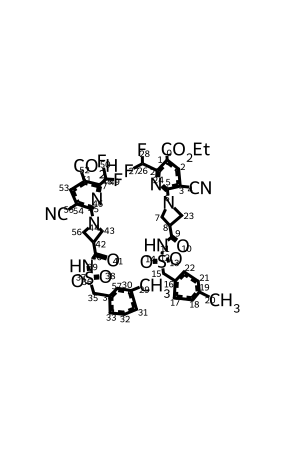 CCOC(=O)c1cc(C#N)c(N2CC(C(=O)NS(=O)(=O)Cc3ccc(C)cc3)C2)nc1C(F)F.Cc1cccc(CS(=O)(=O)NC(=O)C2CN(c3nc(C(F)F)c(C(=O)O)cc3C#N)C2)c1